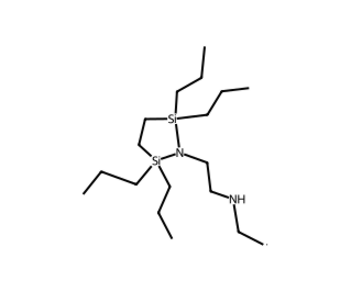 [CH2]CNCCN1[Si](CCC)(CCC)CC[Si]1(CCC)CCC